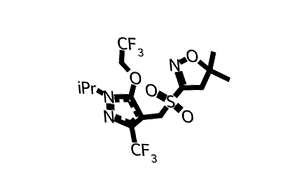 CC(C)n1nc(C(F)(F)F)c(CS(=O)(=O)C2=NOC(C)(C)C2)c1OCC(F)(F)F